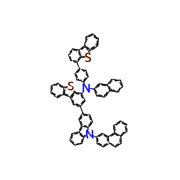 c1ccc2cc(N(c3ccc(-c4cccc5c4sc4ccccc45)cc3)c3cc(-c4ccc5c(c4)c4ccccc4n5-c4ccc5ccc6ccccc6c5c4)cc4c3sc3ccccc34)ccc2c1